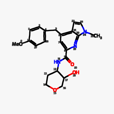 COc1ccc(Cc2cc(C(=O)NC3CCOCC3O)nc3c2ccn3C)cc1